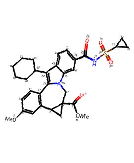 COC(=O)C12CC1c1cc(OC)ccc1-c1c(C3CCCCC3)c3ccc(C(=O)NS(=O)(=O)C4CC4)cc3n1C2